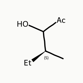 CC[C@H](C)C(O)C(C)=O